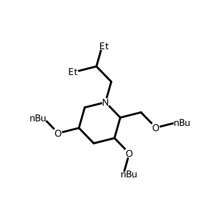 CCCCOCC1C(OCCCC)CC(OCCCC)CN1CC(CC)CC